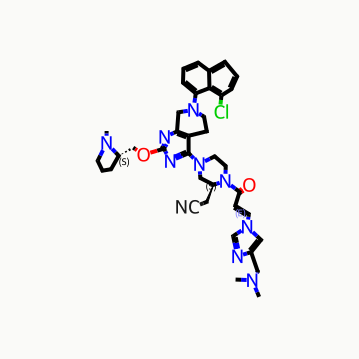 CN(C)Cc1cn(/C=C/C(=O)N2CCN(c3nc(OC[C@@H]4CCCN4C)nc4c3CCN(c3cccc5cccc(Cl)c35)C4)C[C@@H]2CC#N)cn1